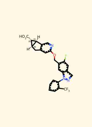 O=C(O)[C@H]1[C@@H]2Cc3cc(OCc4cc5c(cnn5-c5ccccc5C(F)(F)F)cc4F)ncc3[C@@H]21